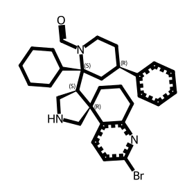 O=CN1CC[C@@H](c2ccccc2)C[C@]1(C1CCCCC1)[C@@H]1CNC[C@]12CCCc1nc(Br)ccc12